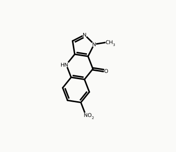 Cn1ncc2[nH]c3ccc([N+](=O)[O-])cc3c(=O)c21